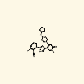 Cn1cc(-c2cnn(-c3cccc(F)c3C#N)c2)c(-c2ccc(OC3CCCC3)nc2)cc1=O